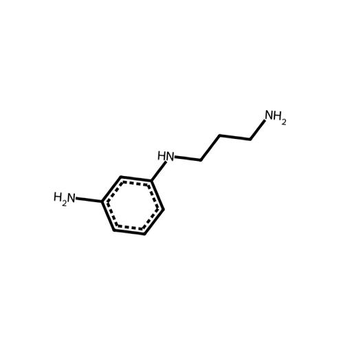 NCCCNc1cccc(N)c1